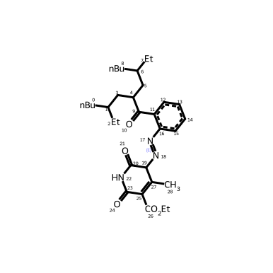 CCCCC(CC)CC(CC(CC)CCCC)C(=O)c1ccccc1/N=N/C1C(=O)NC(=O)C(C(=O)OCC)=C1C